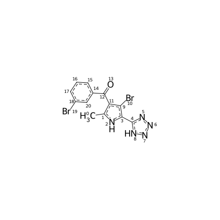 Cc1[nH]c(-c2nnn[nH]2)c(Br)c1C(=O)c1cccc(Br)c1